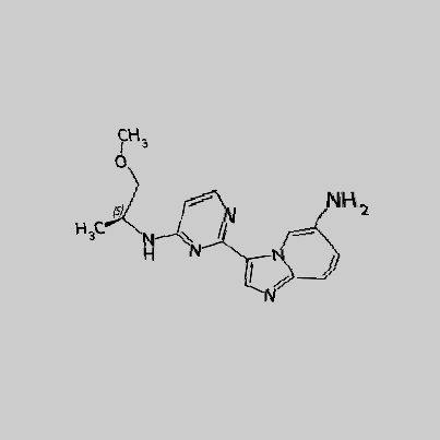 COC[C@H](C)Nc1ccnc(-c2cnc3ccc(N)cn23)n1